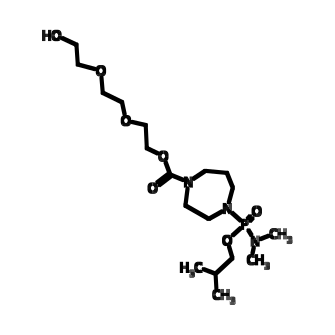 CC(C)COP(=O)(N(C)C)N1CCCN(C(=O)OCCOCCOCCO)CC1